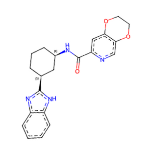 O=C(N[C@@H]1CCC[C@H](c2nc3ccccc3[nH]2)C1)c1cc2c(cn1)OCCO2